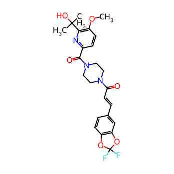 COc1ccc(C(=O)N2CCN(C(=O)/C=C/c3ccc4c(c3)OC(F)(F)O4)CC2)nc1C(C)(C)O